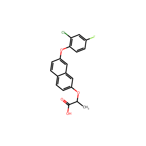 CC(Oc1ccc2ccc(Oc3ccc(F)cc3Cl)cc2c1)C(=O)O